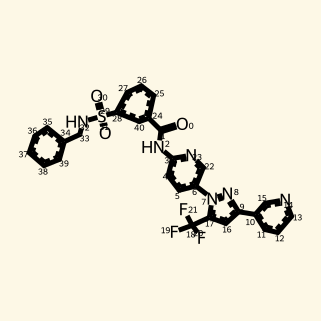 O=C(Nc1ccc(-n2nc(-c3cccnc3)cc2C(F)(F)F)cn1)c1cccc(S(=O)(=O)NCc2ccccc2)c1